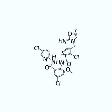 COc1cc(Cl)cc(C(=O)Nc2ccc(Cl)cn2)c1NC(=O)c1scc(CN2C[C@H](C)OC2=N)c1Cl